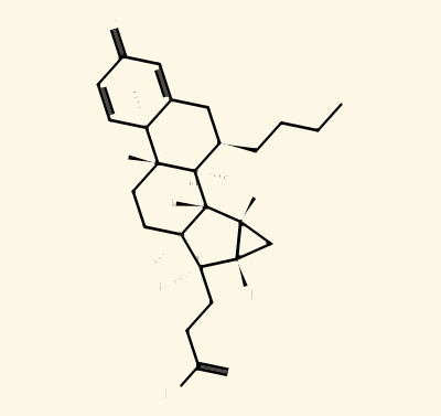 CCCC[C@@H]1CC2=CC(=O)C=C[C@]2(C)[C@H]2CC[C@@]3(C)[C@@H]([C@@H]4C[C@@H]4[C@@]3(O)CCC(=O)O)[C@H]12